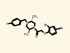 C[C@@H]1CN(C(=O)COc2ccc(Br)cc2Br)[C@@H](C)CN1Cc1ccc(F)cc1